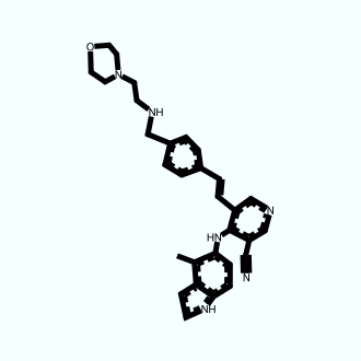 Cc1c(Nc2c(C#N)cncc2C=Cc2ccc(CNCCN3CCOCC3)cc2)ccc2[nH]ccc12